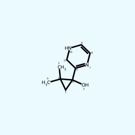 CC1(C)CC1(O)C1=NC=CNC1